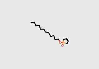 CCCCCCCCCCCCOP1(=O)CC=CC1